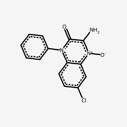 Nc1c(=O)n(-c2ccccc2)c2ccc(Cl)cc2[n+]1[O-]